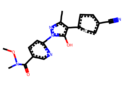 CON(C)C(=O)c1ccc(-n2nc(C)c(-c3ccc(C#N)cc3)c2O)nc1